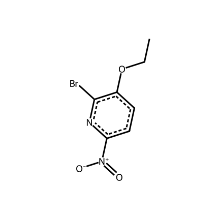 CCOc1ccc([N+](=O)[O-])nc1Br